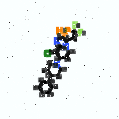 FC(F)(P)Cc1cnc2c(Cl)c(N3CCC(c4ccccc4)CC3)ccn12